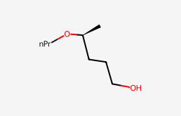 CCCO[C@@H](C)CCCO